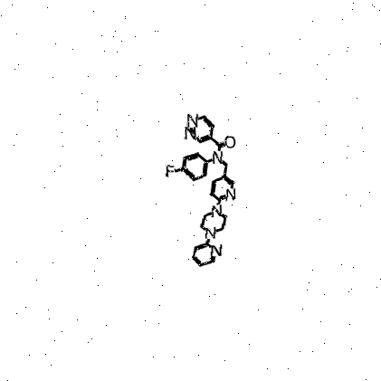 O=C(c1ccnnc1)N(Cc1ccc(N2CCN(c3ccccn3)CC2)nc1)c1ccc(F)cc1